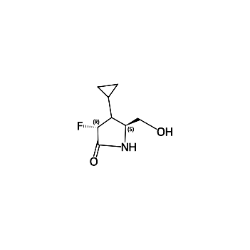 O=C1N[C@H](CO)C(C2CC2)[C@H]1F